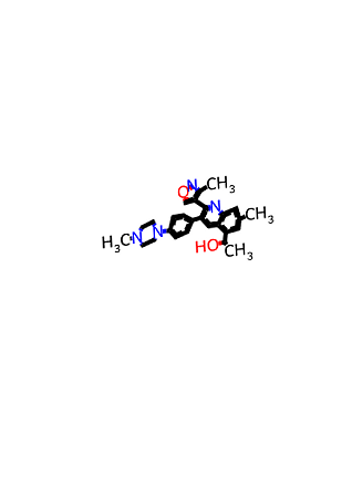 Cc1cc(C(C)O)c2cc(-c3ccc(N4CCN(C)CC4)cc3)c(-c3conc3C)nc2c1